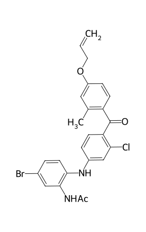 C=CCOc1ccc(C(=O)c2ccc(Nc3ccc(Br)cc3NC(C)=O)cc2Cl)c(C)c1